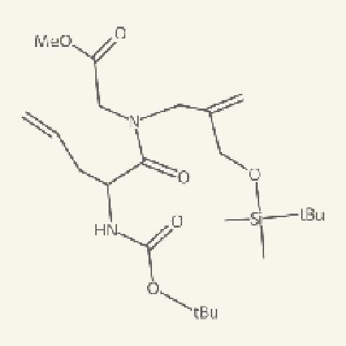 C=CCC(NC(=O)OC(C)(C)C)C(=O)N(CC(=C)CO[Si](C)(C)C(C)(C)C)CC(=O)OC